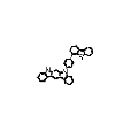 Cn1c2ccccc2c2cc3c4ccccc4n(-c4ccc(-c5cccc6c5sc5ccccc56)cc4)c3cc21